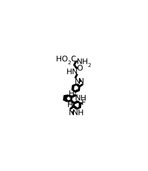 NC(CC(=O)NCCn1ncc2cc([C@@H]3Nc4c(F)cc5[nH]ncc5c4[C@H]4C5CCC(C5)[C@@H]34)ccc21)C(=O)O